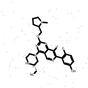 CN1CCCC1COc1nc(N2CCN[C@@H](CC#N)C2)c2cnc(-c3cc(O)ccc3F)c(F)c2n1